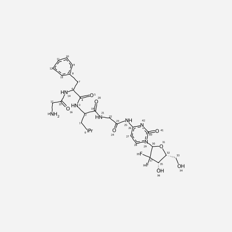 CC(C)CC(NC(=O)C(Cc1ccccc1)NC(=O)CN)C(=O)NCC(=O)Nc1ccn(C2O[C@H](CO)[C@H](O)C2(F)F)c(=O)n1